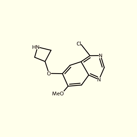 COc1cc2ncnc(Cl)c2cc1OC1CNC1